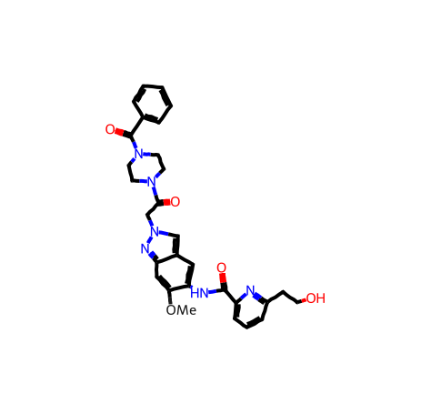 COc1cc2nn(CC(=O)N3CCN(C(=O)c4ccccc4)CC3)cc2cc1NC(=O)c1cccc(CCO)n1